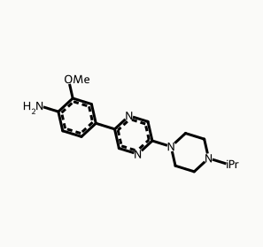 COc1cc(-c2cnc(N3CCN(C(C)C)CC3)cn2)ccc1N